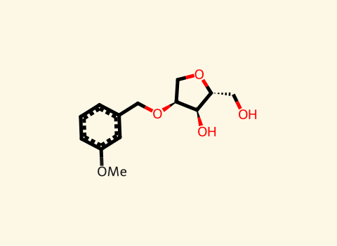 COc1cccc(CO[C@H]2CO[C@H](CO)[C@H]2O)c1